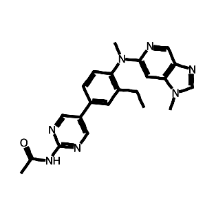 CCc1cc(-c2cnc(NC(C)=O)nc2)ccc1N(C)c1cc2c(cn1)ncn2C